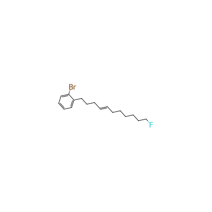 FCCCCCCC=CCCCc1ccccc1Br